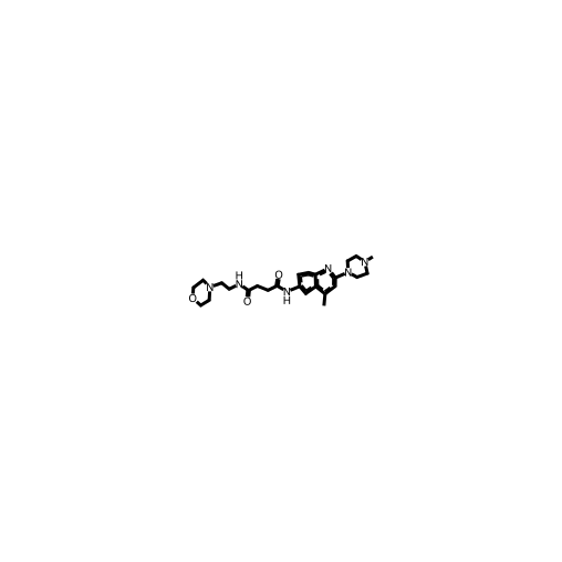 Cc1cc(N2CCN(C)CC2)nc2ccc(NC(=O)CCC(=O)NCCN3CCOCC3)cc12